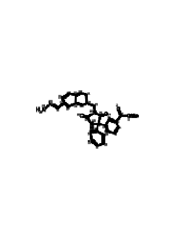 COC(=O)c1cccc(C2(c3ccccc3)NC(=O)N(Cc3ccc4ccc(C=NN)cc4c3)C2=O)c1